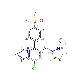 CC(c1cc(Cl)c2cncn2c1-c1ccc(S(C)(=O)=O)cc1)N1C=CCN1N